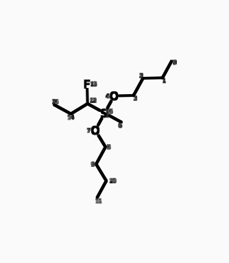 CCCCO[Si](C)(OCCCC)C(F)CC